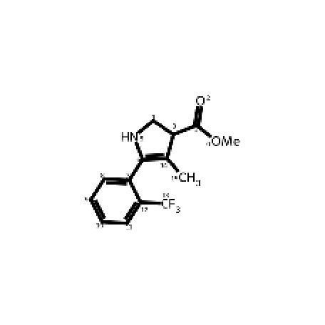 COC(=O)C1CNC(c2ccccc2C(F)(F)F)=C1C